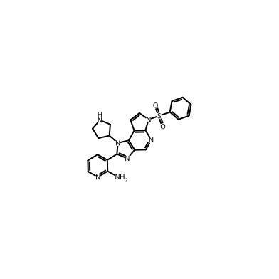 Nc1ncccc1-c1nc2cnc3c(ccn3S(=O)(=O)c3ccccc3)c2n1C1CCNC1